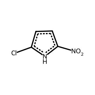 O=[N+]([O-])c1ccc(Cl)[nH]1